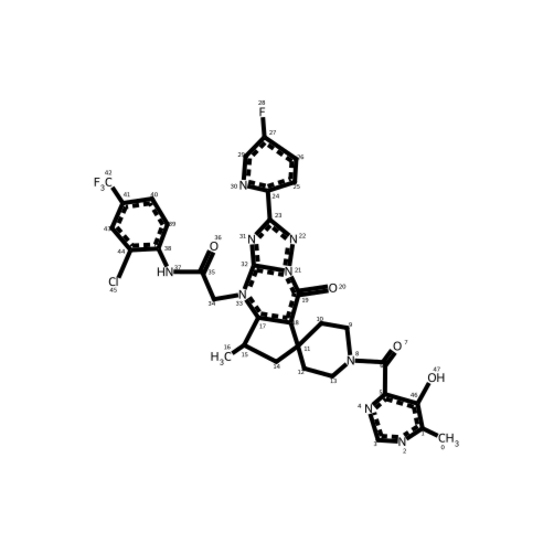 Cc1ncnc(C(=O)N2CCC3(CC2)CC(C)c2c3c(=O)n3nc(-c4ccc(F)cn4)nc3n2CC(=O)Nc2ccc(C(F)(F)F)cc2Cl)c1O